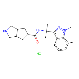 Cc1cccc2c(C(C)(C)NC(=O)C3CC4CNCC4C3)nn(C)c12.Cl